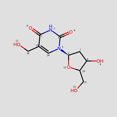 O=c1[nH]c(=O)n([C@H]2CC(O)C(CO)O2)cc1CO